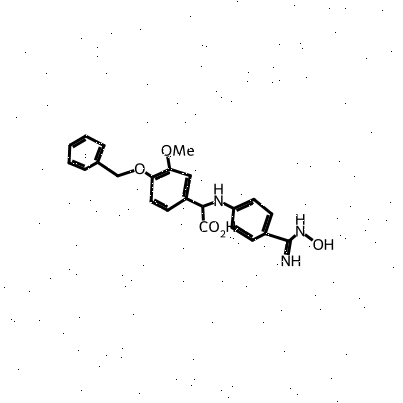 COc1cc(C(Nc2ccc(C(=N)NO)cc2)C(=O)O)ccc1OCc1ccccc1